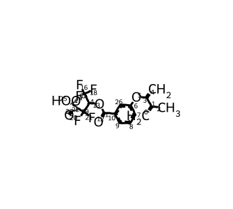 C=C(C)C(=C)Oc1cccc(C(=O)OC(C(F)(F)F)C(F)(F)S(=O)(=O)O)c1